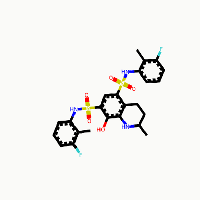 Cc1c(F)cccc1NS(=O)(=O)c1cc(S(=O)(=O)Nc2cccc(F)c2C)c2c(c1O)NC(C)CC2